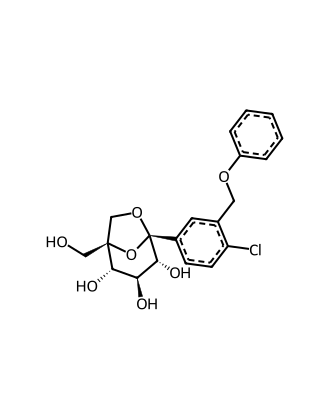 OC[C@@]12CO[C@@](c3ccc(Cl)c(COc4ccccc4)c3)(O1)[C@H](O)[C@@H](O)[C@@H]2O